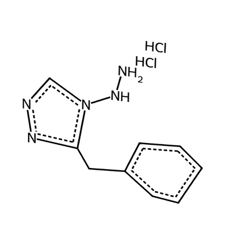 Cl.Cl.NNn1cnnc1Cc1ccccc1